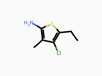 CCc1sc(N)c(C)c1Cl